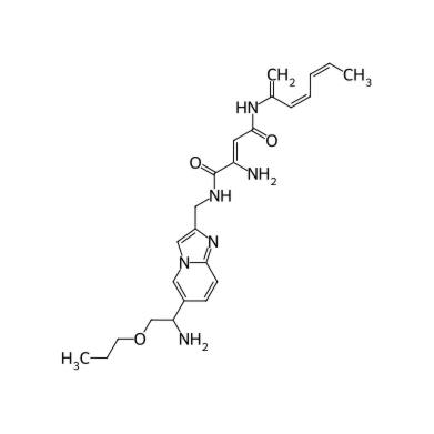 C=C(/C=C\C=C/C)NC(=O)/C=C(\N)C(=O)NCc1cn2cc(C(N)COCCC)ccc2n1